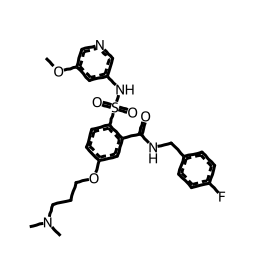 COc1cncc(NS(=O)(=O)c2ccc(OCCCN(C)C)cc2C(=O)NCc2ccc(F)cc2)c1